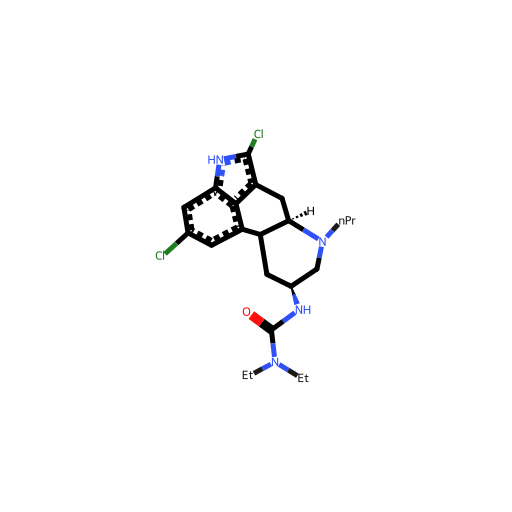 CCCN1C[C@@H](NC(=O)N(CC)CC)CC2c3cc(Cl)cc4[nH]c(Cl)c(c34)C[C@H]21